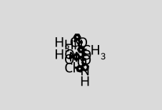 Cc1ccccc1C(=O)Nc1ccc(C(=O)C(C(=O)OC2CCCNc3ccc(Cl)cc32)N2CCN(C(=O)O)CC2)c(C)c1